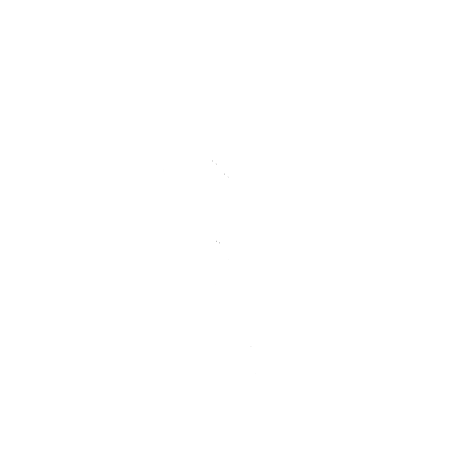 Cc1nn(Cc2ccc(Cl)cc2F)c2c1CCN(C(=O)CC1CCC(C)(C(=O)O)CC1)C2